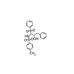 Cc1ccc(S(=O)(=O)NC(C(O)Cc2ccccc2)S(=O)(=O)c2ccccc2)cc1